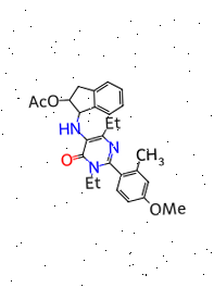 CCc1nc(-c2ccc(OC)cc2C)n(CC)c(=O)c1NC1c2ccccc2CC1OC(C)=O